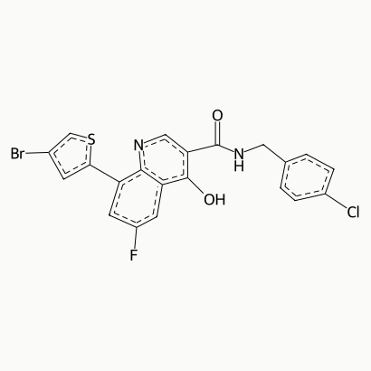 O=C(NCc1ccc(Cl)cc1)c1cnc2c(-c3cc(Br)cs3)cc(F)cc2c1O